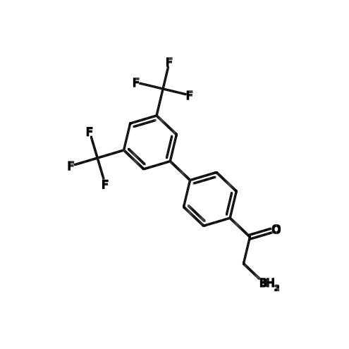 BCC(=O)c1ccc(-c2cc(C(F)(F)F)cc(C(F)(F)F)c2)cc1